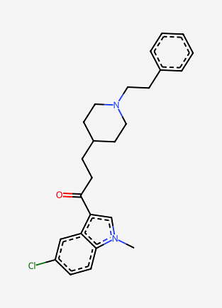 Cn1cc(C(=O)CCC2CCN(CCc3ccccc3)CC2)c2cc(Cl)ccc21